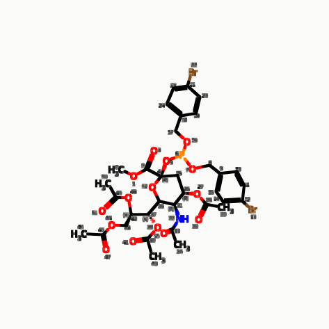 COC(=O)[C@]1(OP(OCc2ccc(Br)cc2)OCc2ccc(Br)cc2)C[C@@H](OC(C)=O)[C@@H](NC(C)=O)C([C@H](OC(C)=O)[C@@H](COC(C)=O)OC(C)=O)O1